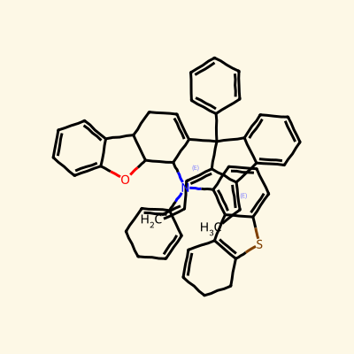 C=C/C=C1\C(=C/C)c2ccccc2C1(C1=CCC2c3ccccc3OC2C1N(C1=CCCC=C1)c1cccc2sc3c(c12)C=CCC3)c1ccccc1